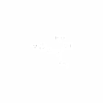 CC(=O)O.O.O.[Mn]